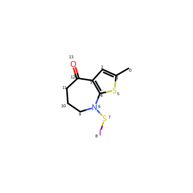 Cc1cc2c(s1)N(SI)CCCC2=O